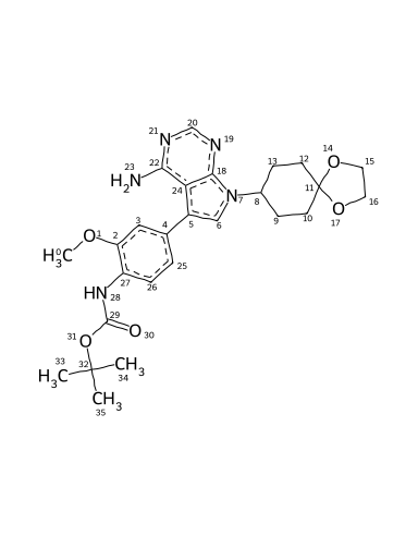 COc1cc(-c2cn(C3CCC4(CC3)OCCO4)c3ncnc(N)c23)ccc1NC(=O)OC(C)(C)C